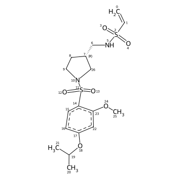 C=CS(=O)(=O)NC[C@H]1CCN(S(=O)(=O)c2ccc(OC(C)C)cc2OC)C1